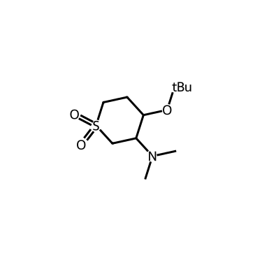 CN(C)C1CS(=O)(=O)CCC1OC(C)(C)C